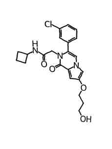 O=C(Cn1c(-c2cccc(Cl)c2)cn2cc(OCCCO)cc2c1=O)NC1CCC1